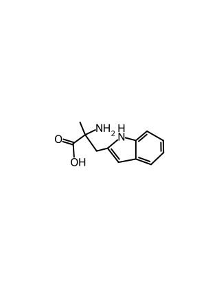 CC(N)(Cc1cc2ccccc2[nH]1)C(=O)O